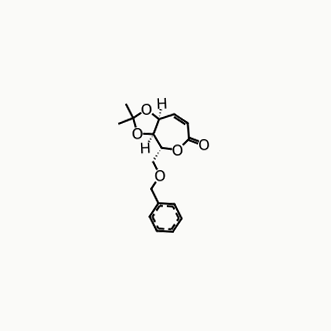 CC1(C)O[C@H]2[C@H](C=CC(=O)O[C@@H]2COCc2ccccc2)O1